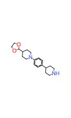 c1cc(N2CCC(C3OCCO3)CC2)ccc1C1CCNCC1